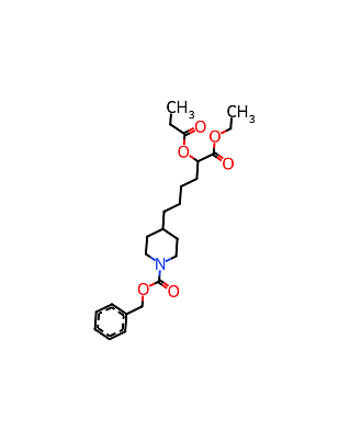 CCOC(=O)C(CCCCC1CCN(C(=O)OCc2ccccc2)CC1)OC(=O)CC